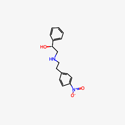 O=[N+]([O-])c1ccc(CCNC[C@@H](O)c2ccccc2)cc1